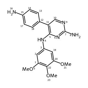 COc1cc(Nc2nc(N)ncc2-c2ccc(N)cc2)cc(OC)c1OC